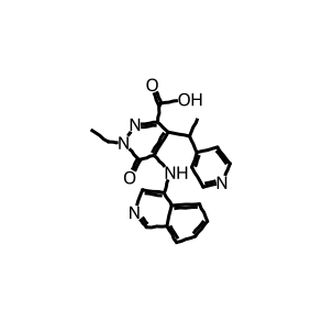 CCn1nc(C(=O)O)c(C(C)c2ccncc2)c(Nc2cncc3ccccc23)c1=O